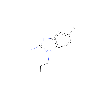 CC(=O)c1ccc2c(c1)nc(N)n2CCC#N